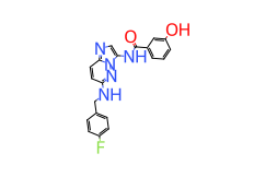 O=C(Nc1cnc2ccc(NCc3ccc(F)cc3)nn12)c1cccc(O)c1